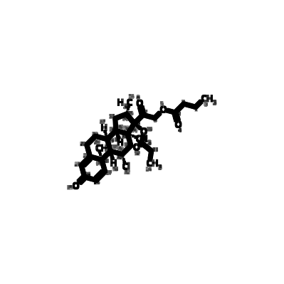 CCCC(=O)OCC(=O)[C@@]1(OC(=O)CC)[C@@H](C)C[C@H]2[C@@H]3CCC4=CC(=O)C=C[C@]4(C)[C@H]3[C@@H](Cl)C[C@@]21C